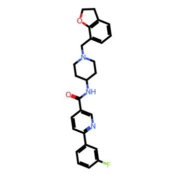 O=C(NC1CCN(Cc2cccc3c2OCC3)CC1)c1ccc(-c2cccc(F)c2)nc1